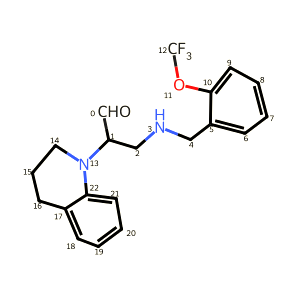 O=CC(CNCc1ccccc1OC(F)(F)F)N1CCCc2ccccc21